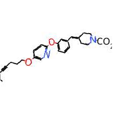 C[Si](C)(C)C#CCCCOc1ccc(Oc2cccc(C=C3CCN(C(=O)O)CC3)c2)nc1